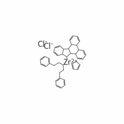 C1=CC[C]([Zr+2](=[C](CCc2ccccc2)CCc2ccccc2)[CH]2C3C=CC=CC3C3C4C=CC=CC4C4C=CC=CC4C32)=C1.[Cl-].[Cl-]